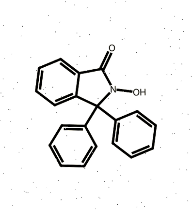 O=C1c2ccccc2C(c2ccccc2)(c2ccccc2)N1O